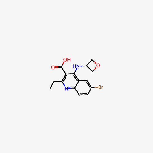 CCc1nc2ccc(Br)cc2c(NC2COC2)c1C(=O)O